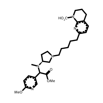 COC(=O)C(c1ccc(OC)nc1)N(C)[C@H]1CCN(CCCCCc2ccc3c(n2)N(C(=O)O)CCC3)C1